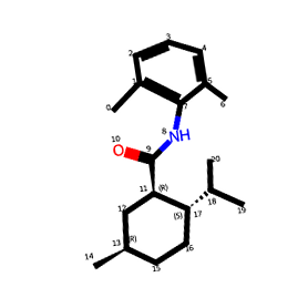 Cc1cccc(C)c1NC(=O)[C@@H]1C[C@H](C)CC[C@H]1C(C)C